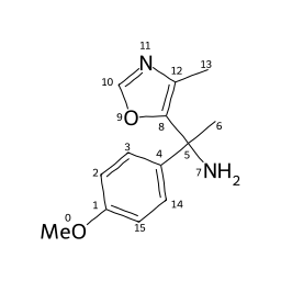 COc1ccc(C(C)(N)c2ocnc2C)cc1